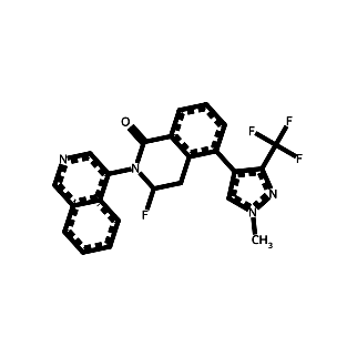 Cn1cc(-c2cccc3c2CC(F)N(c2cncc4ccccc24)C3=O)c(C(F)(F)F)n1